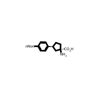 CCCCCCCCCc1ccc([C@H]2CC[C@](N)(C(=O)O)C2)cc1